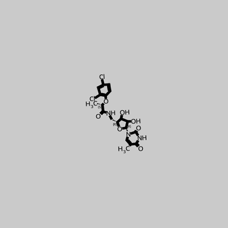 Cc1cn([C@@H]2O[C@H](CNC(=O)[C@H](C)Oc3ccc(Cl)cc3Cl)C(O)C2O)c(=O)[nH]c1=O